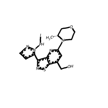 C[C@@H]1COCCN1c1cc(CO)c2snc(-c3ccnn3PI)c2n1